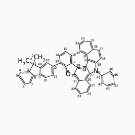 CC1(C)c2ccccc2-c2ccc(-c3cccc4c3oc3c5ccccc5c5c(c43)c3c4ccccc4ccc3n5-c3ccccc3)cc21